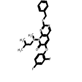 CC(C)CN(C)n1c(=O)c(Oc2ccc(F)cc2F)cc2cnc(SCc3ccccc3)nc21